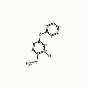 COc1ccc(Oc2cc[c]cc2)cc1Cl